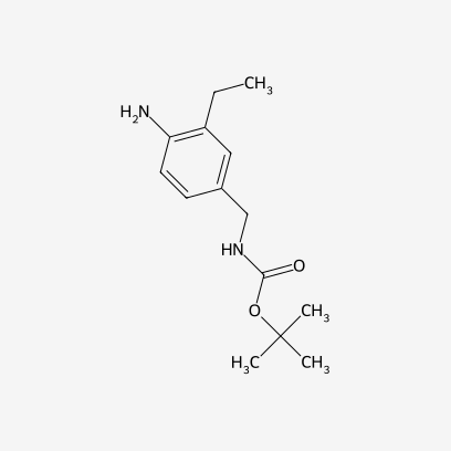 CCc1cc(CNC(=O)OC(C)(C)C)ccc1N